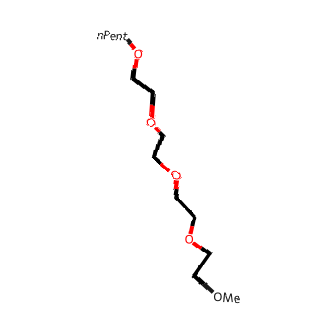 CCCCCOCCOCCOCCOCCOC